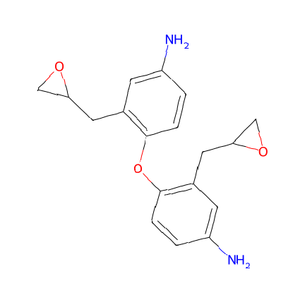 Nc1ccc(Oc2ccc(N)cc2CC2CO2)c(CC2CO2)c1